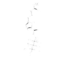 COC(=O)CCCc1ccc(C(=O)CCC(F)(F)C(F)(F)C(F)(C(F)(F)F)C(F)(F)F)s1